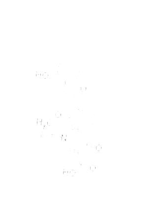 COc1c(-c2cc3c(o2)CCCC3O)ccc2c(=O)c(C(=O)O)cn(C3CC3)c12